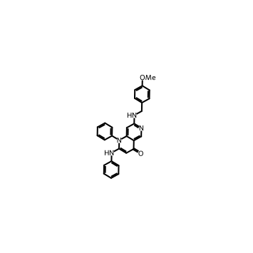 COc1ccc(CNc2cc3c(cn2)c(=O)cc(Nc2ccccc2)n3-c2ccccc2)cc1